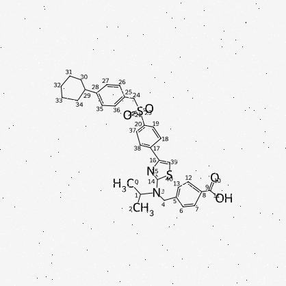 CC(C)N(Cc1ccc(C(=O)O)cc1)c1nc(-c2ccc(S(=O)(=O)Cc3ccc(C4CCCCC4)cc3)cc2)cs1